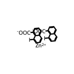 O=C([O-])c1cccc2cccc(I)c12.O=C([O-])c1cccc2cccc(I)c12.[Zn+2]